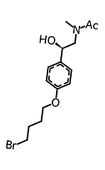 CC(=O)N(C)C[C@H](O)c1ccc(OCCCCBr)cc1